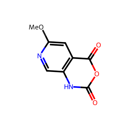 COc1cc2c(=O)oc(=O)[nH]c2cn1